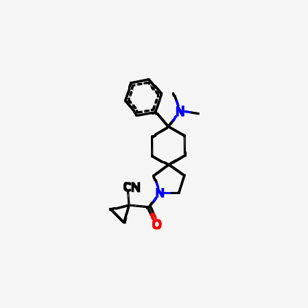 CN(C)C1(c2ccccc2)CCC2(CCN(C(=O)C3(C#N)CC3)C2)CC1